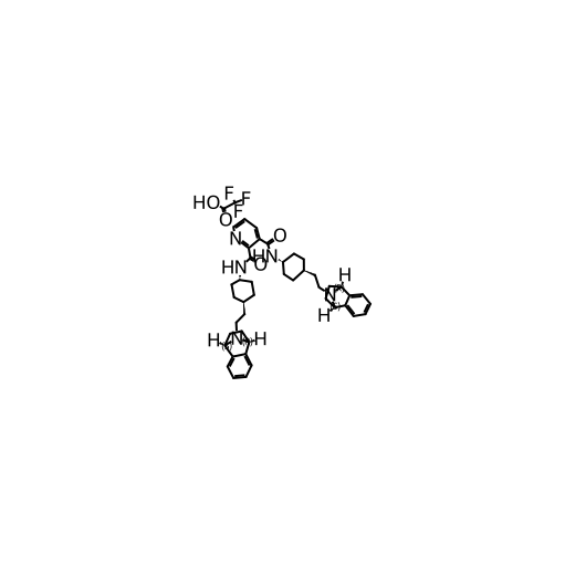 O=C(N[C@H]1CC[C@H](CCN2[C@@H]3CC[C@H]2c2ccccc23)CC1)c1cccnc1C(=O)N[C@H]1CC[C@H](CCN2[C@@H]3CC[C@H]2c2ccccc23)CC1.O=C(O)C(F)(F)F